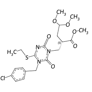 CCSc1nc(=O)n(C[C@H](CC(OC)OC)C(=O)OC)c(=O)n1Cc1ccc(Cl)cc1